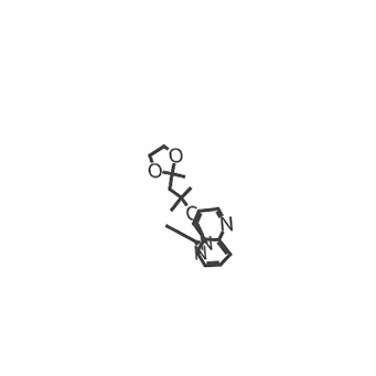 CC1N=C2C=CC=C3N=CC=CC32N1CC(C)(C)CC1(C)OCCO1